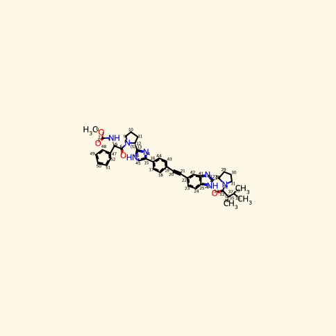 COC(=O)N[C@H](C(=O)N1CCC[C@H]1c1nc(-c2ccc(C#Cc3ccc4[nH]c([C@@H]5CCCN5C(=O)[C@@H](C)C(C)C)nc4c3)cc2)c[nH]1)c1ccccc1